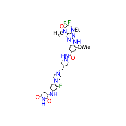 CCN1CC(F)(F)C(=O)N(C)c2cnc(Nc3ccc(C(=O)NN4CCC(CCN5CCN(c6ccc(NC7CCC(=O)NC7=O)cc6F)CC5)CC4)cc3OC)nc21